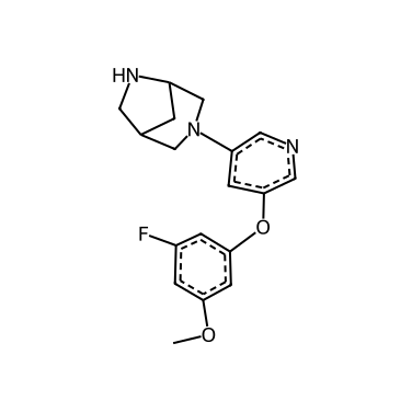 COc1cc(F)cc(Oc2cncc(N3CC4CNC(C4)C3)c2)c1